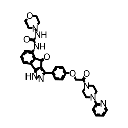 O=C(Nc1cccc2c1C(=O)c1c(-c3ccc(OCC(=O)N4CCN(c5ccccn5)CC4)cc3)n[nH]c1-2)NN1CCOCC1